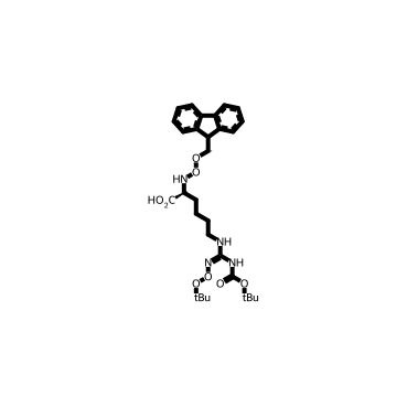 CC(C)(C)OON=C(NCCCC[C@H](NOO[CH]C1c2ccccc2-c2ccccc21)C(=O)O)NC(=O)OC(C)(C)C